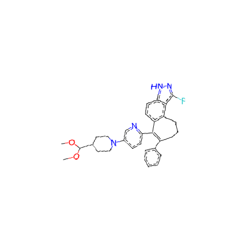 COC(OC)C1CCN(c2ccc(C3=C(c4ccccc4)CCCc4c3ccc3[nH]nc(F)c43)nc2)CC1